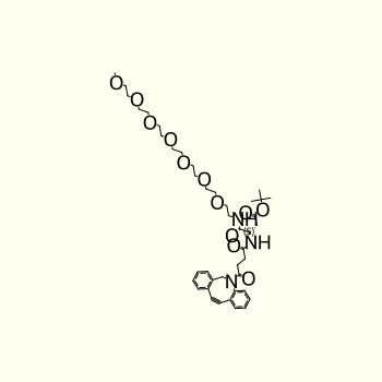 COCCOCCOCCOCCOCCOCCOCCNC(=O)[C@H](CC(=O)OC(C)(C)C)NC(=O)CCC(=O)N1Cc2ccccc2C#Cc2ccccc21